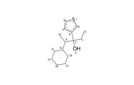 CCC(O)(c1ccsc1)C(C)C1CCCCC1